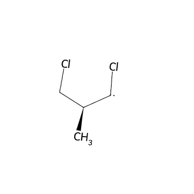 C[C@H]([CH]Cl)CCl